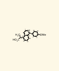 COc1ccc(-c2nccc3c(C(C)C(=O)O)cccc23)cc1